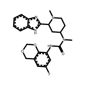 CN1CCC(N(C)C(=O)Nc2cc(F)cc3c2OCOC3)CC1c1nc2ccccc2[nH]1